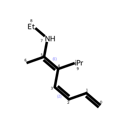 C=C/C=C\C(=C(/C)NCC)C(C)C